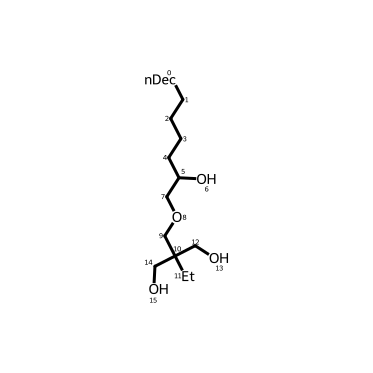 CCCCCCCCCCCCCCC(O)COCC(CC)(CO)CO